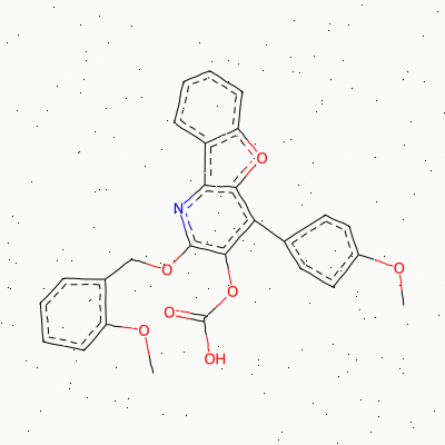 COc1ccc(-c2c(OC(=O)O)c(OCc3ccccc3OC)nc3c2oc2ccccc23)cc1